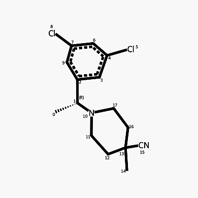 C[C@H](c1cc(Cl)cc(Cl)c1)N1CCC(C)(C#N)CC1